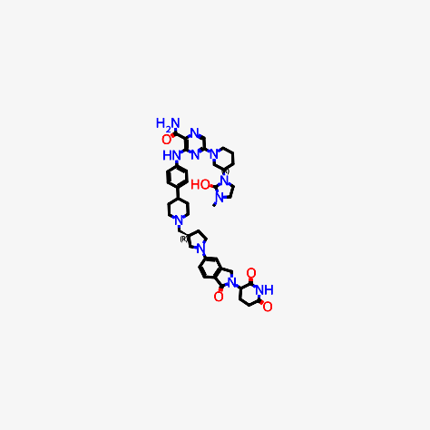 CN1CCN([C@@H]2CCCN(c3cnc(C(N)=O)c(Nc4ccc(C5CCN(C[C@H]6CCN(c7ccc8c(c7)CN(C7CCC(=O)NC7=O)C8=O)C6)CC5)cc4)n3)C2)C1O